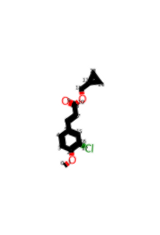 COc1ccc(C=CC(=O)OCC2CC2)cc1Cl